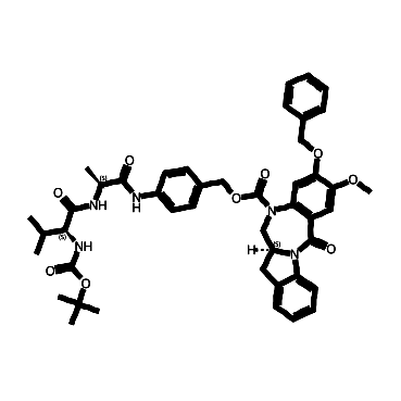 COc1cc2c(cc1OCc1ccccc1)N(C(=O)OCc1ccc(NC(=O)[C@H](C)NC(=O)[C@@H](NC(=O)OC(C)(C)C)C(C)C)cc1)C[C@@H]1Cc3ccccc3N1C2=O